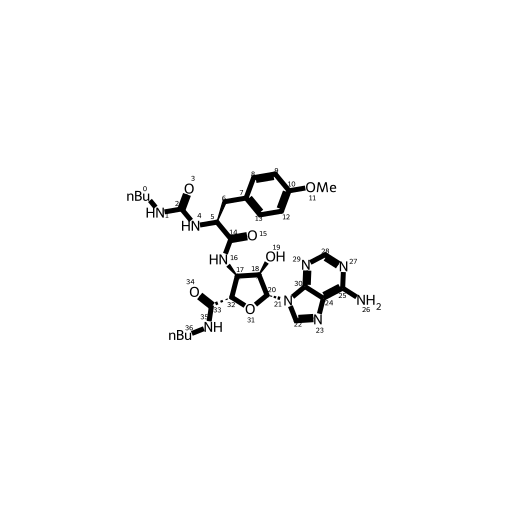 CCCCNC(=O)N[C@@H](Cc1ccc(OC)cc1)C(=O)N[C@H]1[C@@H](O)[C@H](n2cnc3c(N)ncnc32)O[C@@H]1C(=O)NCCCC